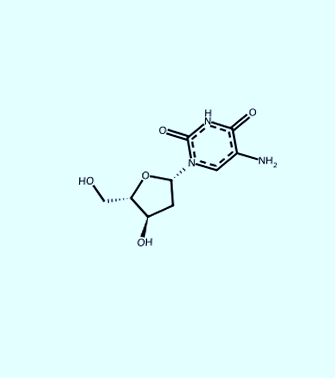 Nc1cn([C@@H]2C[C@@H](O)[C@H](CO)O2)c(=O)[nH]c1=O